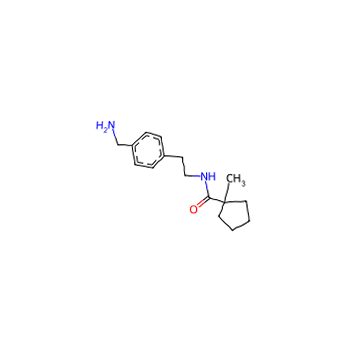 CC1(C(=O)NCCc2ccc(CN)cc2)CCCC1